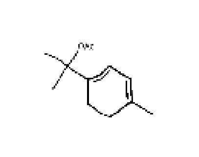 CC(=O)OC(C)(C)C1=CC=C(C)CC1